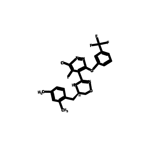 Cc1ccc(C[C@@H]2CON=C(c3c(Oc4cccc(C(F)(F)F)c4)nnc(Cl)c3I)N2)c(C)c1